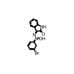 O=C1Nc2ccccc2C1=N[N+](O)=C1C=CC=C(Br)C1